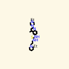 CCC1CCCCN1CCCNC(=S)Nc1ccc2nc(N3CCN(CC)CC3)cc(C)c2c1